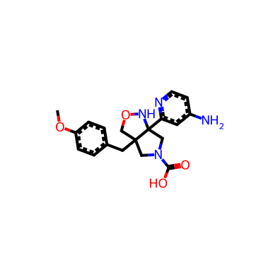 COc1ccc(CC23CONC2(c2cc(N)ccn2)CN(C(=O)O)C3)cc1